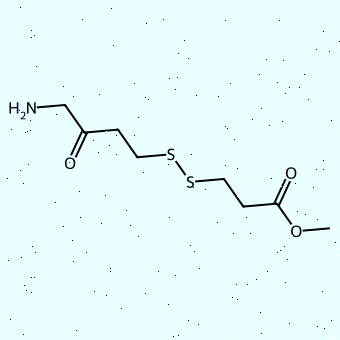 COC(=O)CCSSCCC(=O)CN